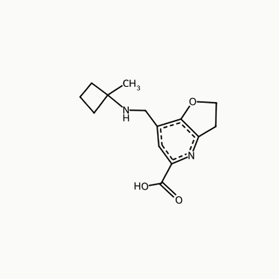 CC1(NCc2cc(C(=O)O)nc3c2OCC3)CCC1